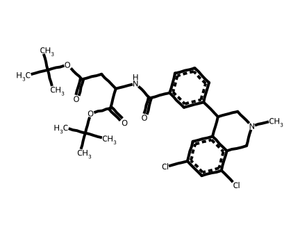 CN1Cc2c(Cl)cc(Cl)cc2C(c2cccc(C(=O)NC(CC(=O)OC(C)(C)C)C(=O)OC(C)(C)C)c2)C1